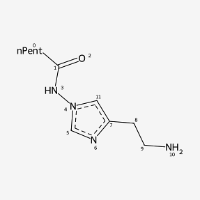 CCCCCC(=O)Nn1cnc(CCN)c1